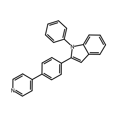 c1ccc(-n2c(-c3ccc(-c4ccncc4)cc3)cc3ccccc32)cc1